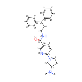 CN(C)C1CCN(c2ccc(C(=O)NCCC(c3ccccc3)c3ccccc3)cn2)C1